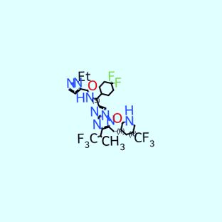 CCn1nccc1C(=O)N[C@H](c1cn2nc(C[C@H]3C[C@@H](C(F)(F)F)CNC3=O)c(C(C)C(F)(F)F)nc2n1)C1CCC(F)(F)CC1